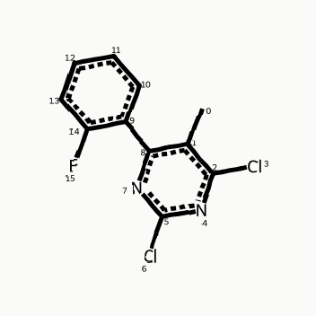 Cc1c(Cl)nc(Cl)nc1-c1ccccc1F